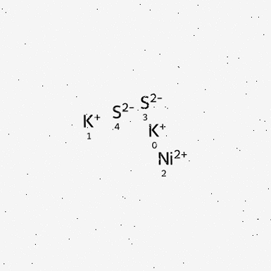 [K+].[K+].[Ni+2].[S-2].[S-2]